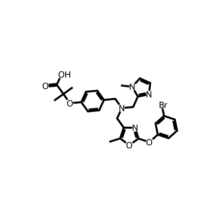 Cc1oc(Oc2cccc(Br)c2)nc1CN(Cc1ccc(OC(C)(C)C(=O)O)cc1)Cc1nccn1C